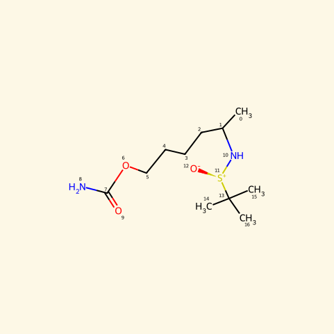 CC(CCCCOC(N)=O)N[S@+]([O-])C(C)(C)C